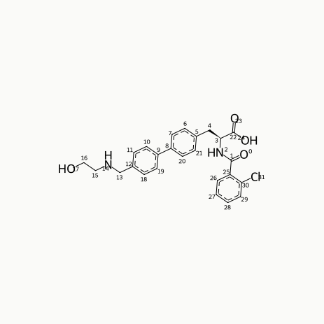 O=C(N[C@@H](Cc1ccc(-c2ccc(CNCCO)cc2)cc1)C(=O)O)c1ccccc1Cl